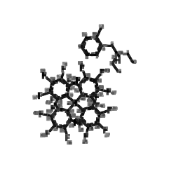 CC[NH+](CC)Cc1ccccc1C.Fc1c(F)c(F)c([B-](c2c(F)c(F)c(F)c(F)c2F)(c2c(F)c(F)c(F)c(F)c2F)c2c(F)c(F)c(F)c(F)c2F)c(F)c1F